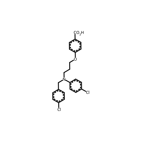 O=C(O)c1ccc(OCCCN(Cc2ccc(Cl)cc2)c2ccc(Cl)cc2)cc1